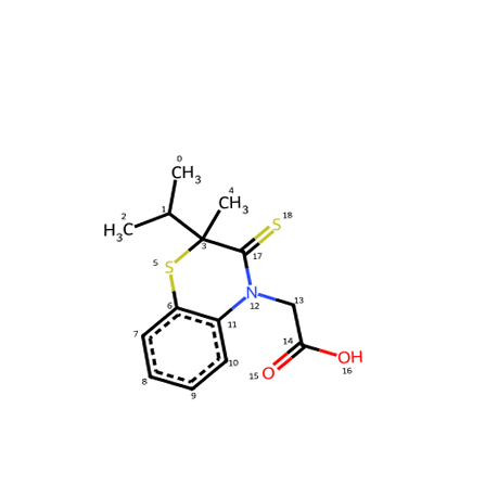 CC(C)C1(C)Sc2ccccc2N(CC(=O)O)C1=S